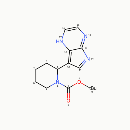 CC(C)(C)OC(=O)N1CCCCC1c1cnc2ncc[nH]c1-2